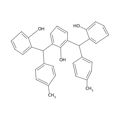 Cc1ccc(C(c2ccccc2O)c2cccc(C(c3ccc(C)cc3)c3ccccc3O)c2O)cc1